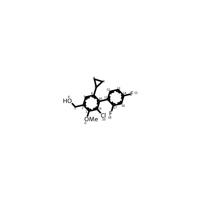 COc1c(CO)cc(C2CC2)c(-c2ccc(F)cc2F)c1Cl